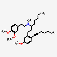 CCCCC#Cc1ccc(OC)cc1CCC(CCCCC)N(C)CCc1ccc(OC)c(OC)c1